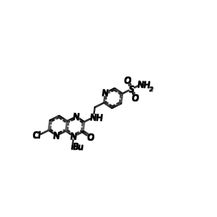 CCC(C)n1c(=O)c(NCc2ccc(S(N)(=O)=O)cn2)nc2ccc(Cl)nc21